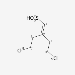 O=S(=O)(O)C=C(CCCl)CCCl